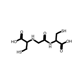 O=C(CNC(CS)C(=O)O)NC(CS)C(=O)O